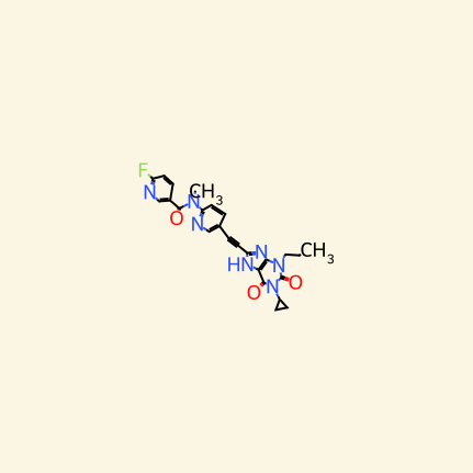 CCCn1c(=O)n(C2CC2)c(=O)c2[nH]c(C#Cc3ccc(N(C)C(=O)c4ccc(F)nc4)nc3)nc21